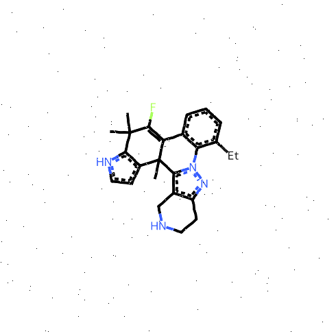 CCc1cccc2c1-n1nc3c(c1C1(C)C2=C(F)C(C)(C)c2[nH]ccc21)CNCC3